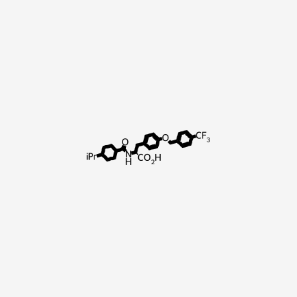 CC(C)C1CCC(C(=O)N[C@H](Cc2ccc(OCc3ccc(C(F)(F)F)cc3)cc2)C(=O)O)CC1